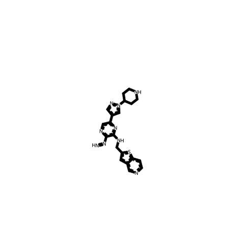 N=Nc1ncc(-c2cnn(C3CCNCC3)c2)nc1NCc1cc2cnccc2s1